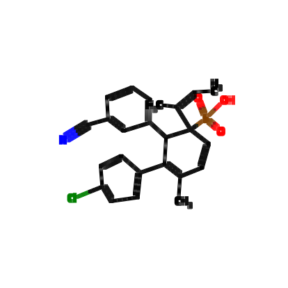 C/C=C(/C)C1(S(=O)(=O)O)C=CC(C)=C(c2ccc(Cl)cc2)C1c1cccc(C#N)c1